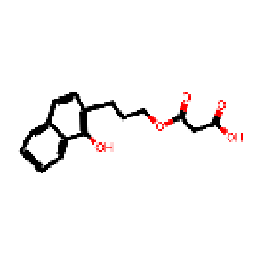 O=C(O)CC(=O)OCCCc1ccc2ccccc2c1O